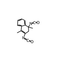 CC1=C(N=C=O)CC(C)(N=C=O)c2ccccc21